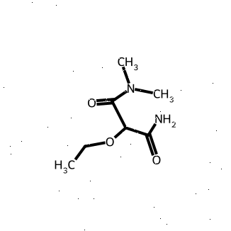 CCOC(C(N)=O)C(=O)N(C)C